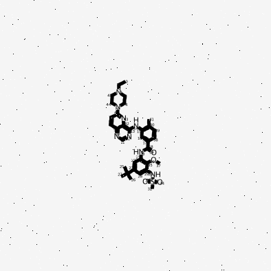 CCN1CCN(c2ccc3ncnc(Nc4cc(C(=O)Nc5cc(C(C)(C)C)cc(NS(C)(=O)=O)c5OC)ccc4C)c3n2)CC1